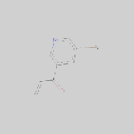 C=CC(=O)c1cncc(Br)c1